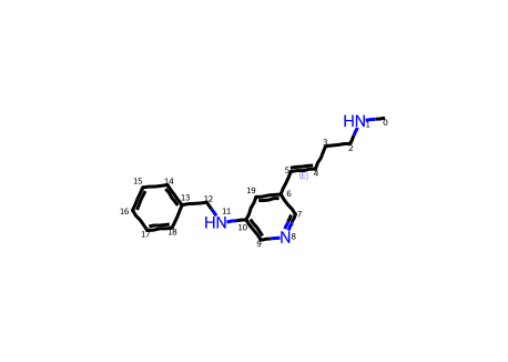 CNCC/C=C/c1cncc(NCc2ccccc2)c1